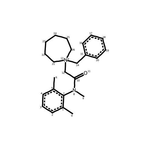 Cc1cccc(C)c1N(C)C(=O)C[N+]1(Cc2ccccc2)CCCCCC1